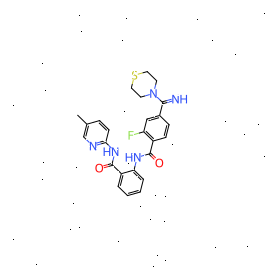 Cc1ccc(NC(=O)c2ccccc2NC(=O)c2ccc(C(=N)N3CCSCC3)cc2F)nc1